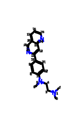 CN(C)CCN(C)c1ccc(-c2cc3ncccc3[c]n2)cc1